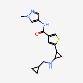 Cn1cc(NC(=O)c2csc(C3CC3NCC3CC3)c2)cn1